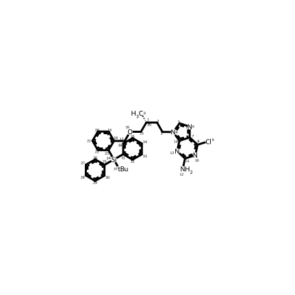 C[C@H](CCn1cnc2c(Cl)nc(N)nc21)COCc1ccccc1[Si](c1ccccc1)(c1ccccc1)C(C)(C)C